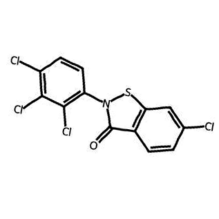 O=c1c2ccc(Cl)cc2sn1-c1ccc(Cl)c(Cl)c1Cl